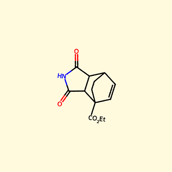 CCOC(=O)C12C=CC(CC1)C1C(=O)NC(=O)C12